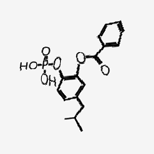 CC(C)Cc1ccc(OP(=O)(O)O)c(OC(=O)c2ccccc2)c1